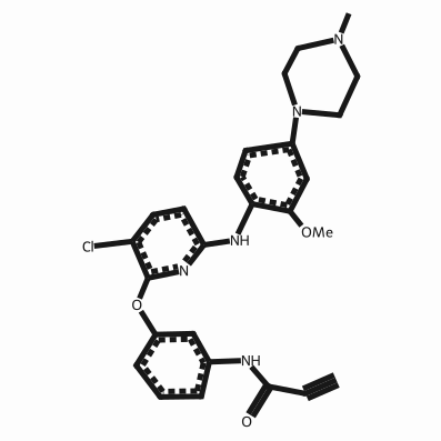 C#CC(=O)Nc1cccc(Oc2nc(Nc3ccc(N4CCN(C)CC4)cc3OC)ccc2Cl)c1